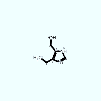 CCc1nc[nH]c1CO